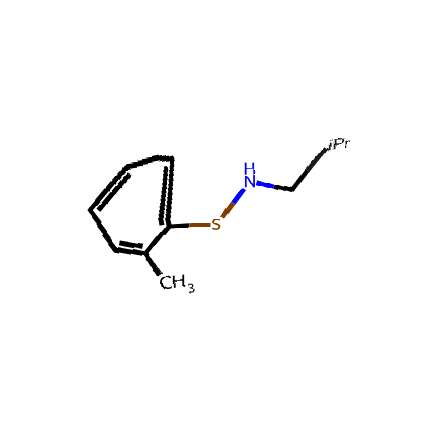 Cc1ccccc1SNCC(C)C